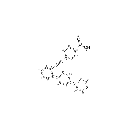 O=C(O)c1ccc(C#Cc2ccccc2-c2ccc(-c3ccccc3)cc2)cc1